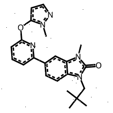 Cn1nccc1Oc1cccc(-c2ccc3c(c2)n(C)c(=O)n3CC(C)(C)C)n1